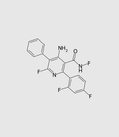 Nc1c(C(=O)NF)c(-c2ccc(F)cc2F)nc(F)c1-c1ccccc1